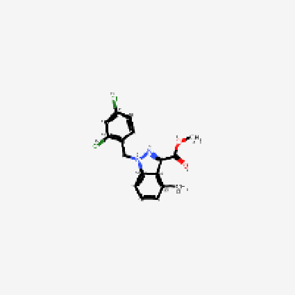 COC(=O)c1nn(Cc2ccc(Cl)cc2Cl)c2cccc(C)c12